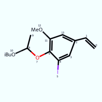 C=Cc1cc(I)c(OC(C)OCC(C)C)c(OC)c1